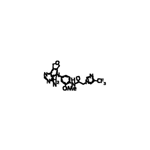 COc1cc(-n2c3c(c4ncnc(N)c42)COC3)ccc1NC(=O)Cn1cnc(C(F)(F)F)c1